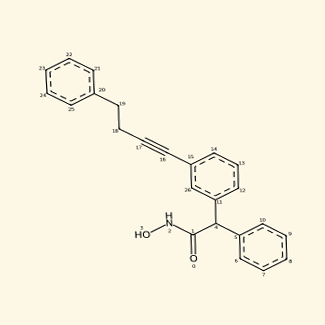 O=C(NO)C(c1ccccc1)c1cccc(C#CCCc2ccccc2)c1